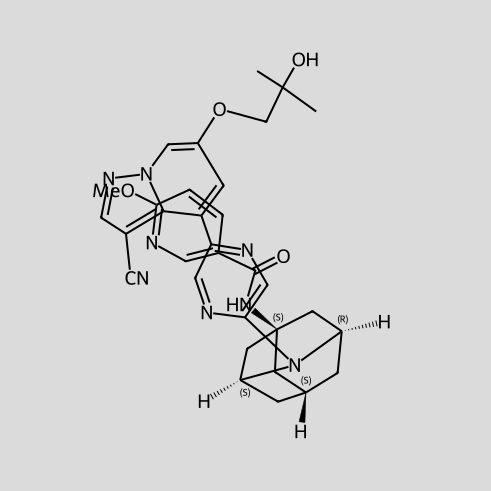 COc1ccc(C(=O)N[C@]23C[C@@H]4C[C@H](C2)N(c2cnc(-c5cc(OCC(C)(C)O)cn6ncc(C#N)c56)cn2)[C@@H](C4)C3)cn1